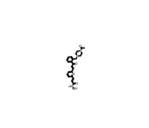 CC(=O)N1CCN(Cc2ccccc2C(=O)C=Cc2cccc(C=CC(=O)NO)n2)CC1